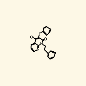 O=c1c([I+]c2ccccc2)c([O-])c2cccnc2n1CCc1ccccc1